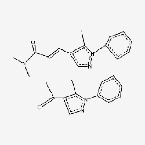 CC(=O)c1cnn(-c2ccccc2)c1C.Cc1c(C=CC(=O)N(C)C)cnn1-c1ccccc1